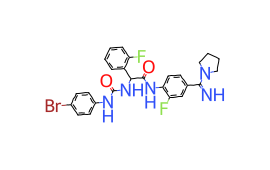 N=C(c1ccc(NC(=O)C(NC(=O)Nc2ccc(Br)cc2)c2ccccc2F)c(F)c1)N1CCCC1